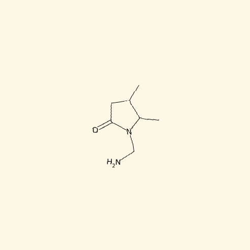 CC1CC(=O)N(CN)C1C